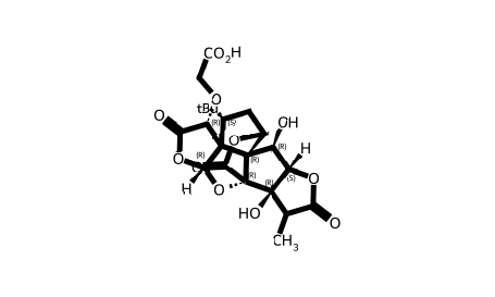 CC1C(=O)O[C@H]2[C@H](O)[C@@]34C5C[C@@H](C(C)(C)C)C36[C@@H](OC(=O)[C@@H]6OCC(=O)O)O[C@@]4(C(=O)O5)[C@@]12O